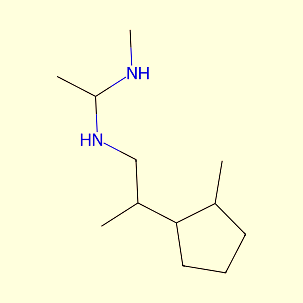 CNC(C)NCC(C)C1CCCC1C